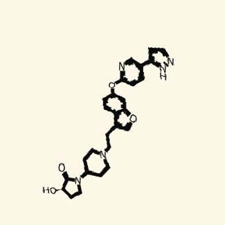 O=C1[C@@H](O)CCN1C1CCN(CCc2coc3cc(Oc4ccc(-c5ccn[nH]5)cn4)ccc23)CC1